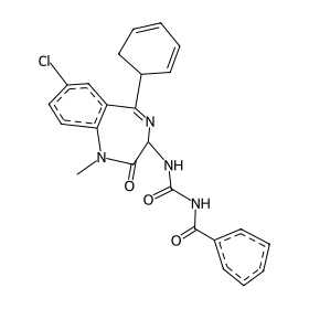 CN1C(=O)C(NC(=O)NC(=O)c2ccccc2)N=C(C2C=CC=CC2)c2cc(Cl)ccc21